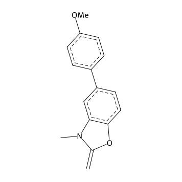 C=C1Oc2ccc(-c3ccc(OC)cc3)cc2N1C